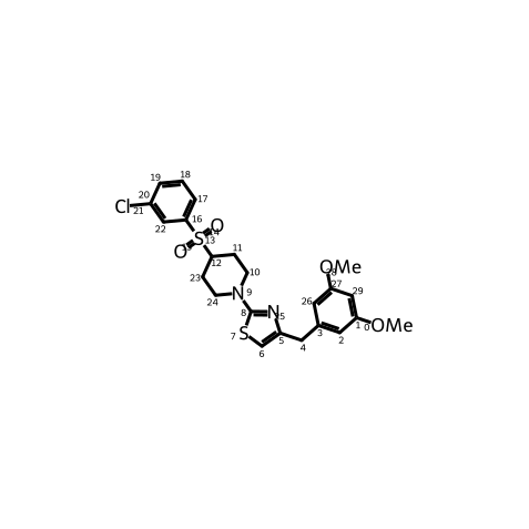 COc1cc(Cc2csc(N3CCC(S(=O)(=O)c4cccc(Cl)c4)CC3)n2)cc(OC)c1